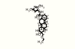 CCOC[C@@]1(O)CC[C@@]2(CC)[C@H](CC[C@H]3[C@@H]4CCC[C@H](C(=O)Nc5cc(C)nn5C)[C@@]4(C)CC[C@@H]32)C1